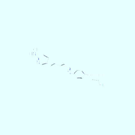 CNc1ccc(/C=C/C=C/c2nc3ccc(OCC(O)CF)cc3s2)cn1